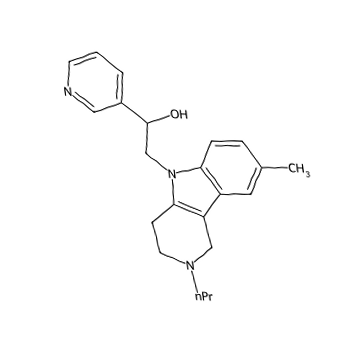 CCCN1CCc2c(c3cc(C)ccc3n2CC(O)c2cccnc2)C1